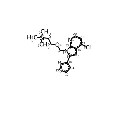 C[Si](C)(C)CCOCn1c(-c2ccsc2)cc2c(Cl)ccnc21